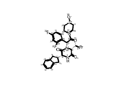 CC(C)C[C@@H]1C(=O)N[C@H](C2Cc3ccccc3C2)C(=O)N1[C@@H](C(=O)N1CC[S+]([O-])CC1)c1ccc(F)cc1F